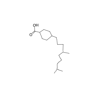 CC(C)CCCC(C)CCCC1CCC(C(=O)O)CC1